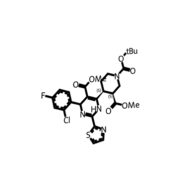 COC(=O)C1=C([C@H]2CCN(C(=O)OC(C)(C)C)C[C@H]2C(=O)OC)NC(c2nccs2)=NC1c1ccc(F)cc1Cl